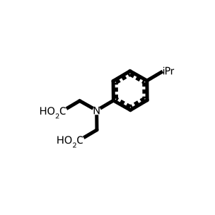 CC(C)c1ccc(N(CC(=O)O)CC(=O)O)cc1